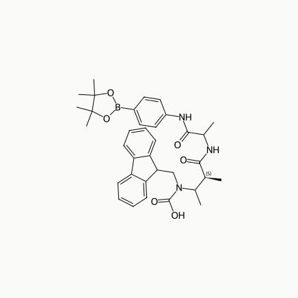 CC(NC(=O)[C@@H](C)C(C)N(CC1c2ccccc2-c2ccccc21)C(=O)O)C(=O)Nc1ccc(B2OC(C)(C)C(C)(C)O2)cc1